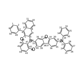 c1ccc(-c2c3c(cc4ccccc24)B2c4cc5oc6cc(N(c7ccccc7)c7ccccc7)ccc6c5cc4Oc4cccc(c42)O3)cc1